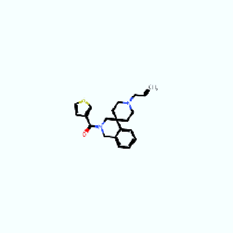 C=CCN1CCC2(CC1)CN(C(=O)c1ccsc1)Cc1ccccc12